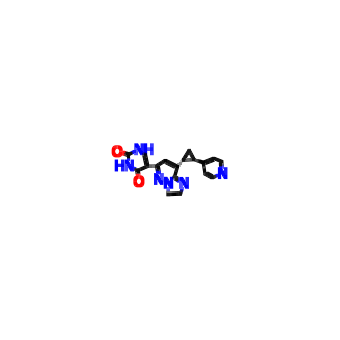 O=c1[nH]cc(-c2cc([C@@H]3C[C@H]3c3ccncc3)c3nccn3n2)c(=O)[nH]1